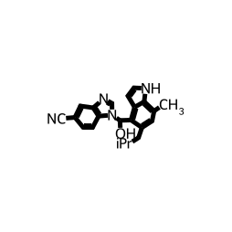 Cc1cc(CC(C)C)c(C(O)n2cnc3cc(C#N)ccc32)c2cc[nH]c12